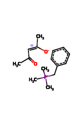 CC(=O)/C=C(/C)[O-].C[P+](C)(C)Cc1ccccc1